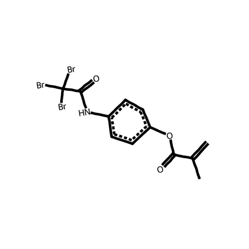 C=C(C)C(=O)Oc1ccc(NC(=O)C(Br)(Br)Br)cc1